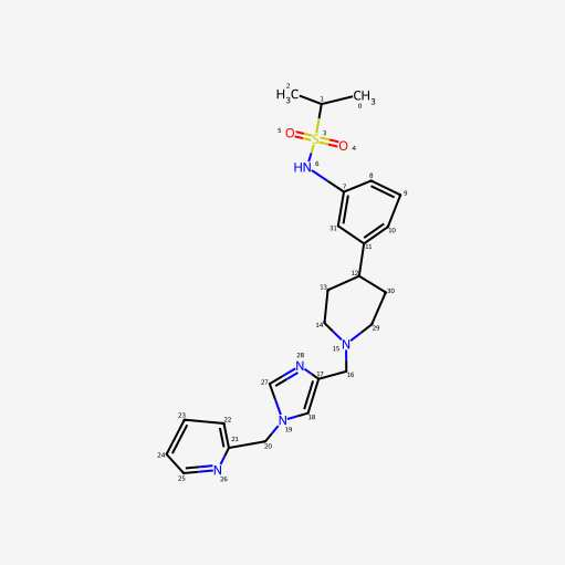 CC(C)S(=O)(=O)Nc1cccc(C2CCN(Cc3cn(Cc4ccccn4)cn3)CC2)c1